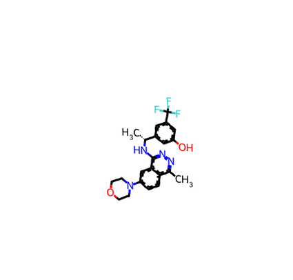 Cc1nnc(N[C@H](C)c2cc(O)cc(C(F)(F)F)c2)c2cc(N3CCOCC3)ccc12